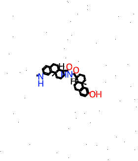 CNc1ccc2c(c1)[C@@]1(C)CCC[C@](C)(C(=O)NC(=O)[C@@]3(C)CCC[C@]4(C)c5cc(O)ccc5CC[C@@H]34)[C@@H]1CC2